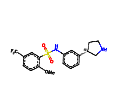 COc1ccc(C(F)(F)F)cc1S(=O)(=O)Nc1cccc([C@@H]2CCNC2)c1